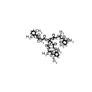 CC(CC(=O)C1C(C)C=CCC1(C)C)SCC(=O)OCC(COC(=O)CS)(COC(=O)CSC(C)CC(=O)C1C(C)C=CCC1(C)C)COC(=O)CS[C@@H](C)CC(=O)[C@@H]1C(C)C=CCC1(C)C